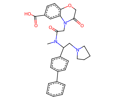 CN(C(=O)CN1C(=O)COc2ccc(C(=O)O)cc21)C(CN1CCCC1)c1ccc(-c2ccccc2)cc1